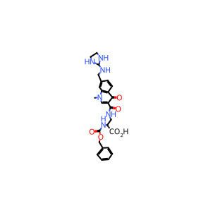 Cn1cc(C(=O)NCC(NC(=O)OCc2ccccc2)C(=O)O)c(=O)c2ccc(CNC3NCCN3)cc21